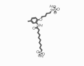 Cc1ccc(OCCCCSS(=O)(=O)O)c(NC(=O)CCCCCCCCCS(=O)(=O)O)c1